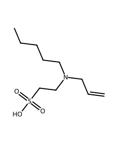 C=CCN(CCCCC)CCS(=O)(=O)O